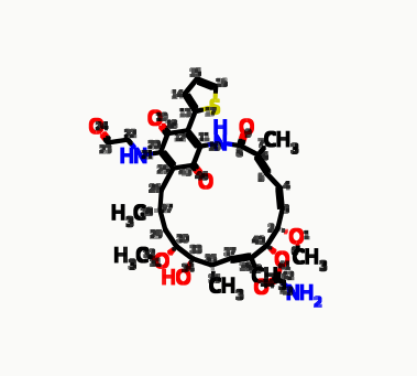 CO[C@H]1/C=C\C=C(/C)C(=O)NC2=C(c3cccs3)C(=O)C(NCC=O)=C(C[C@@H](C)C[C@H](OC)[C@H](O)[C@@H](C)/C=C(\C)[C@@H]1OC(N)=O)C2=O